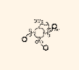 COC(C)COCC(CN1CCN(C(=O)OCc2ccccc2)CCN(C(=O)OCc2ccccc2)CCN(C(=O)OCc2ccccc2)CC1)OC